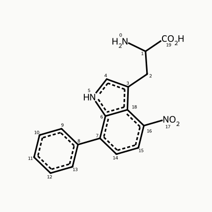 NC(Cc1c[nH]c2c(-c3ccccc3)ccc([N+](=O)[O-])c12)C(=O)O